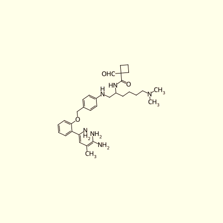 CC(/C=C(\N)c1ccccc1OCc1ccc(NCC(CCCCN(C)C)NC(=O)C2(C=O)CCC2)cc1)=C(N)N